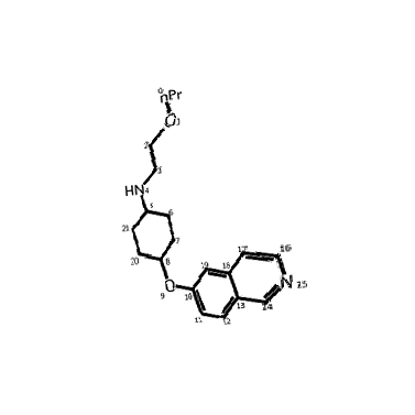 CCCOCCNC1CCC(Oc2ccc3cnccc3c2)CC1